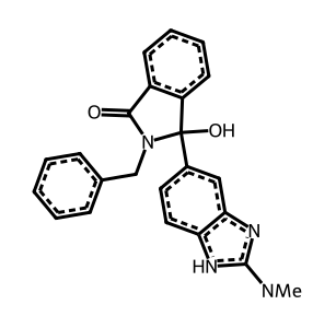 CNc1nc2cc(C3(O)c4ccccc4C(=O)N3Cc3ccccc3)ccc2[nH]1